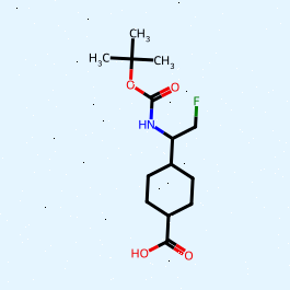 CC(C)(C)OC(=O)NC(CF)C1CCC(C(=O)O)CC1